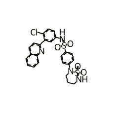 O=S(=O)(Nc1ccc(Cl)c(-c2ccc3ccccc3n2)c1)c1ccc(N2CCCNS2(=O)=O)cc1